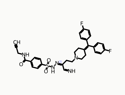 C#CCNC(=O)c1ccc(S(=O)(=O)N/N=C(\C=N)CCN2CCC(=C(c3ccc(F)cc3)c3ccc(F)cc3)CC2)cc1